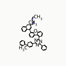 C/C=C\C=C/C1(C)C=C(c2cccc3c2oc2cccc(-c4nc(C5=CCC(C)(c6ccccc6)C=C5)nc(-c5ccccc5)n4)c23)c2ccccc2C1